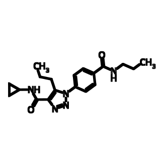 CCCNC(=O)c1ccc(-n2nnc(C(=O)NC3CC3)c2CCC)cc1